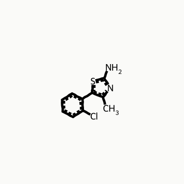 Cc1nc(N)sc1-c1ccccc1Cl